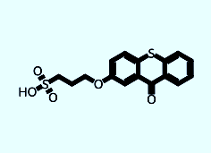 O=c1c2ccccc2sc2ccc(OCCCS(=O)(=O)O)cc12